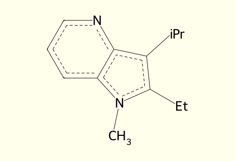 CCc1c(C(C)C)c2ncccc2n1C